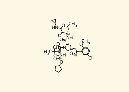 CCC[C@H](NC(=O)[C@@H]1C[C@]2(CC(c3cc(Cl)ccc3OC)=NO2)CN1C(=O)[C@@H](NC(=O)OC1CCCC1)C(C)(C)C)C(=O)C(=O)NC1CC1